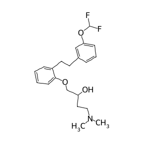 CN(C)CCC(O)COc1ccccc1CCc1cccc(OC(F)F)c1